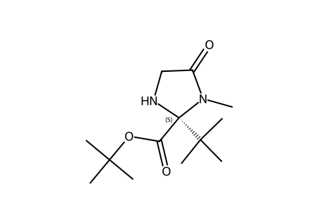 CN1C(=O)CN[C@@]1(C(=O)OC(C)(C)C)C(C)(C)C